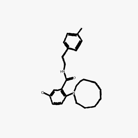 [CH2]c1ccc(CCNC(=O)c2cc(Cl)ccc2N2CCCCCCCC2)cc1